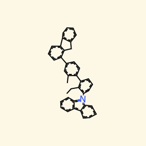 CCc1c(-c2ccc(-c3cccc4c3Cc3ccccc3-4)cc2C)cccc1-n1c2ccccc2c2ccccc21